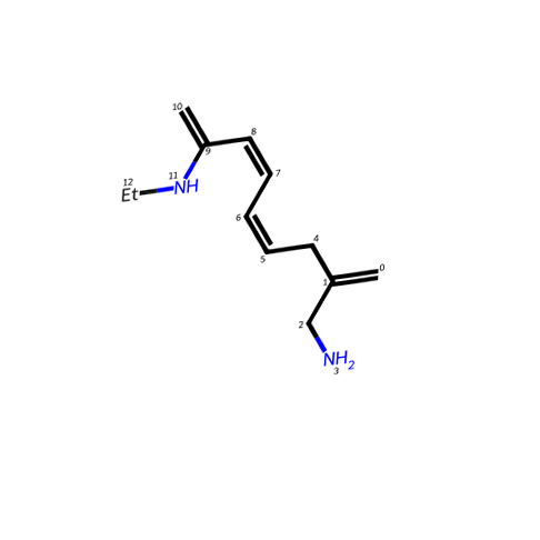 C=C(CN)C/C=C\C=C/C(=C)NCC